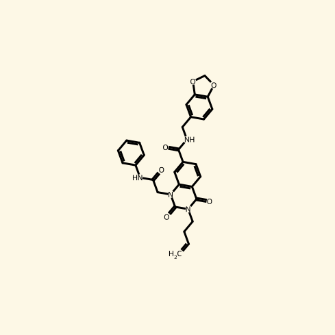 C=CCCn1c(=O)c2ccc(C(=O)NCc3ccc4c(c3)OCO4)cc2n(CC(=O)Nc2ccccc2)c1=O